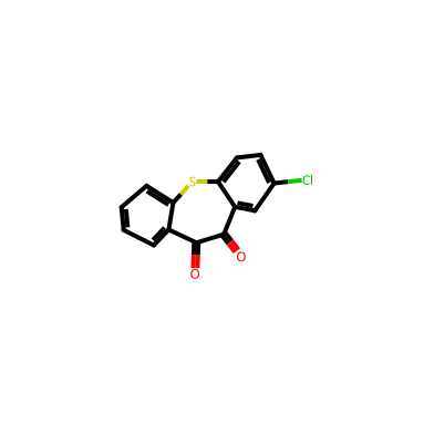 O=c1c(=O)c2cc(Cl)ccc2sc2ccccc12